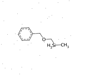 C[SiH2]COCc1ccccc1